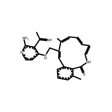 CC(=N)c1c(NCC2=C/c3cccc(C)c3C(=O)N/C=C/C=C/C=C\2C)ccnc1N